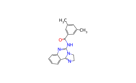 Cc1cc(C)cc(C(=O)NC2=Nc3ccccc3C3=NCCN23)c1